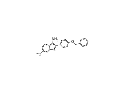 COc1ccc2c(N)c(-c3ccc(OCc4ccccc4)cc3)sc2c1